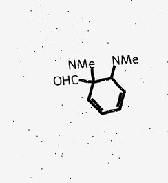 CNC1C=CC=CC1(C=O)NC